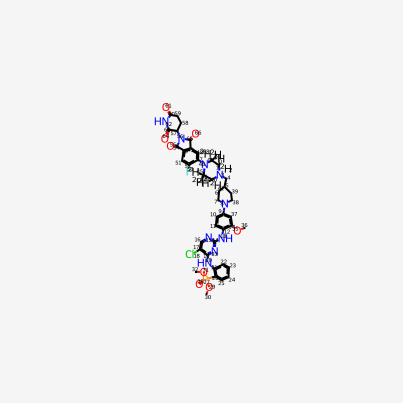 [2H]C1([2H])N(CC2CCN(c3ccc(Nc4ncc(Cl)c(Nc5ccccc5P(=O)(OC)OC)n4)c(OC)c3)CC2)C([2H])([2H])C([2H])([2H])N(c2cc3c(cc2F)C(=O)N(C2CCC(=O)NC2=O)C3=O)C1([2H])[2H]